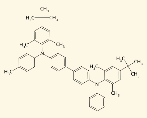 Cc1ccc(N(c2ccc(-c3ccc(N(c4ccccc4)c4c(C)cc(C(C)(C)C)cc4C)cc3)cc2)c2c(C)cc(C(C)(C)C)cc2C)cc1